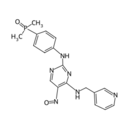 CP(C)(=O)c1ccc(Nc2ncc(N=O)c(NCc3cccnc3)n2)cc1